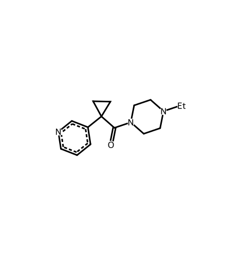 CCN1CCN(C(=O)C2(c3cccnc3)CC2)CC1